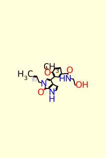 C/C=C/Cn1cc(-c2cc(C(=O)NCCO)ccc2OC)c2cc[nH]c2c1=O